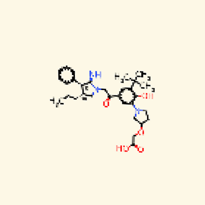 CCC[C@H]1CN(CC(=O)c2cc(N3CCC(OCC(=O)O)C3)c(O)c(C(C)(C)C)c2)C(=N)[C@@H]1c1ccccc1